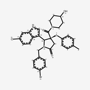 Cc1ccc(S[C@@]2(C(=O)N3CCC(O)CC3)CC(=O)N(Cc3ccc(Br)cc3)C2c2c[nH]c3cc(Cl)ccc23)cc1